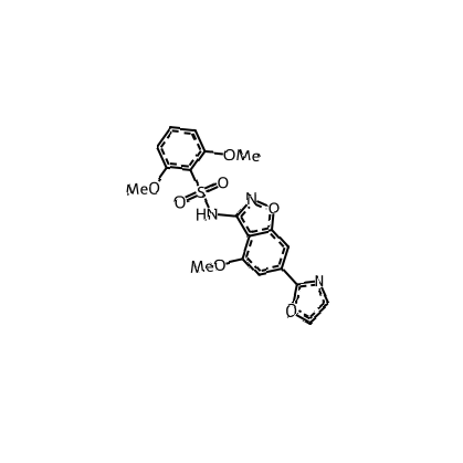 COc1cccc(OC)c1S(=O)(=O)Nc1noc2cc(-c3ncco3)cc(OC)c12